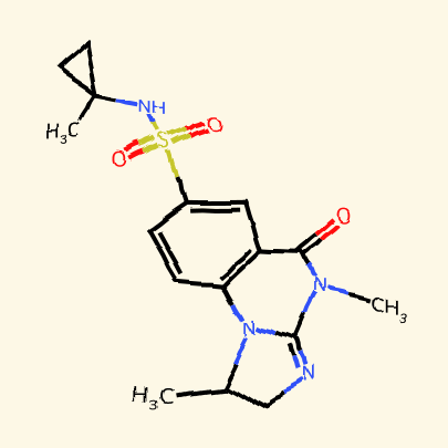 CC1CN=C2N(C)C(=O)c3cc(S(=O)(=O)NC4(C)CC4)ccc3N21